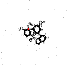 COc1ccc(S(=O)(=O)N2CCc3cccc(-c4cc(OC)c(OC)c(OC)c4)c32)cc1